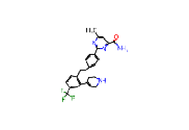 Cc1cc(C(N)=O)nc(-c2ccc(CCc3ccc(C(F)(F)F)cc3C3=CCNCC3)cc2)n1